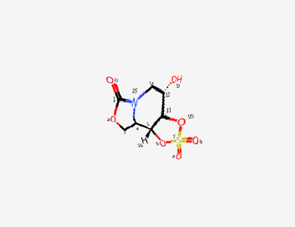 O=C1OCC2[C@H]3OS(=O)(=O)OC3[C@@H](O)CN12